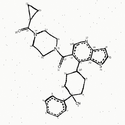 N#CC1(c2ccccc2)CCC(c2c(C(=O)N3CCN(C(=O)C4CC4)CC3)cnc3ccsc23)CC1